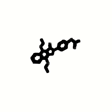 CCOc1c2c(c(OCC)c3ccccc13)C(=O)N(c1ccc(OC(C)=O)cc1)C2